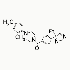 CCC1(c2ccc(C(=O)N3CCN(c4ccc(C)cc4C)CC3)cc2)C=NC=N1